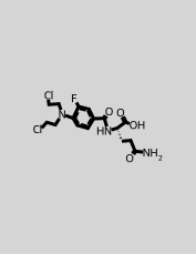 NC(=O)CC[C@H](NC(=O)c1ccc(N(CCCl)CCCl)c(F)c1)C(=O)O